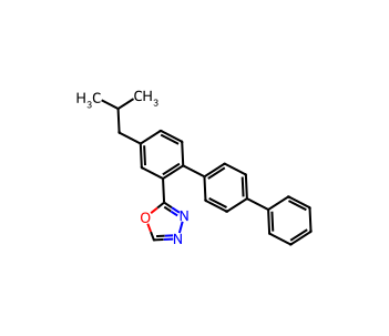 CC(C)Cc1ccc(-c2ccc(-c3ccccc3)cc2)c(-c2nnco2)c1